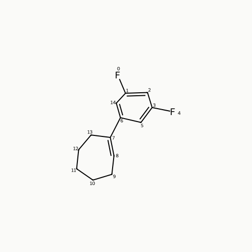 Fc1cc(F)cc(C2=CCCCCC2)c1